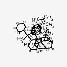 C[Si](C)(C)[C]12[CH]3[C]4(C(P)(C5CCCCN5)C5CCCCN5)[C]5(C6(CP)C7CC8CC(C7)CC6C8)[C]1([Si](C)(C)C)[Fe]34521678[CH]2[CH]1[CH]6[CH]7[CH]28